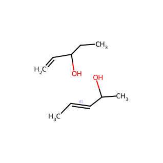 C/C=C/C(C)O.C=CC(O)CC